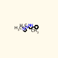 CCN1CCCC1N(C)c1cc(C)c(-c2ccccc2)nn1